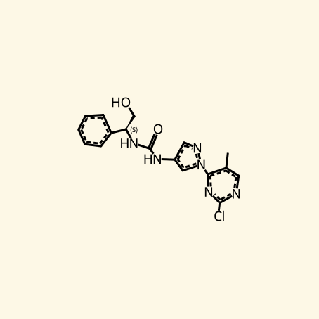 Cc1cnc(Cl)nc1-n1cc(NC(=O)N[C@H](CO)c2ccccc2)cn1